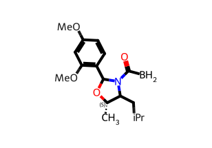 BC(=O)N1C(c2ccc(OC)cc2OC)O[C@@H](C)C1CC(C)C